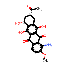 COc1ccc2c(c1N)C(=O)c1c(O)c3c(c(O)c1C2=O)[C@H](O)C[C@H](C(C)=O)C3